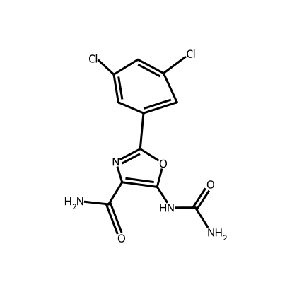 NC(=O)Nc1oc(-c2cc(Cl)cc(Cl)c2)nc1C(N)=O